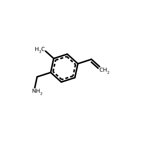 C=Cc1ccc(CN)c(C)c1